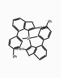 CCCCCCC1=C([Si](C)(C)C2=C(CCCCCC)[CH]c3cccc(-c4ccc(C(C)C)cc4)c32)c2c(cccc2-c2ccc(C(C)C)cc2)[CH]1